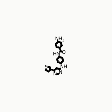 Nc1ccc(C(=O)Nc2ccc(Nc3cc(-c4ccsc4)ncn3)cc2)cc1